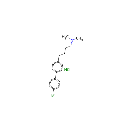 CN(C)CCCCc1ccc(-c2ccc(Br)cc2)cc1.Cl